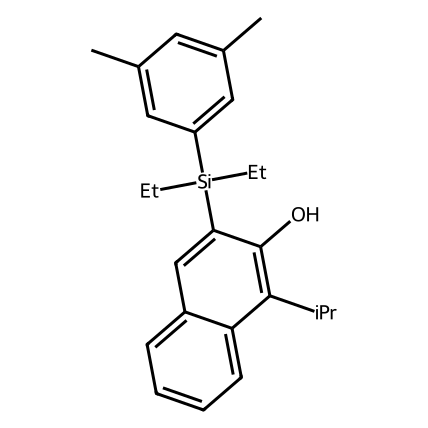 CC[Si](CC)(c1cc(C)cc(C)c1)c1cc2ccccc2c(C(C)C)c1O